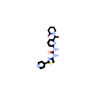 CC(c1cccc(NC(=O)Nc2csc(-c3ccncc3)n2)n1)N1CCCCC1I